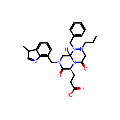 CCCN1CC(=O)N2[C@@H](CCC(=O)O)C(=O)N(Cc3cccc4c3N=CC4C)C[C@@H]2N1Cc1ccccc1